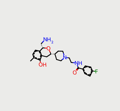 Cc1ccc2c(c1O)C[C@@H](C1CCN(CCNC(=O)c3ccc(F)cc3)CC1)O[C@H]2CN